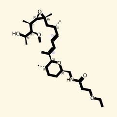 [CH2]COCCC(=O)NC[C@H]1CC[C@H](C)[C@@H](/C(C)=C/C=C/[C@@H](C)C[C@@]2(C)O[C@@H]2[C@H](C)[C@@H](OC)[C@@H](C)O)O1